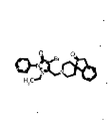 CCn1c(CN2CCC3(CC2)C(=O)Cc2ccccc23)c(Br)c(=O)n1-c1ccccc1